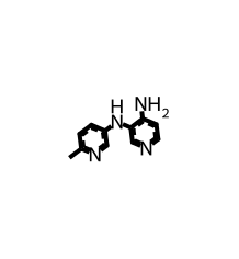 Cc1ccc(Nc2cnccc2N)cn1